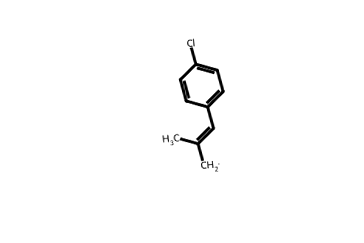 [CH2]C(C)=Cc1ccc(Cl)cc1